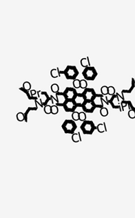 CC(C)CC(C(=O)N(CCC1CO1)CCC1CO1)N1C(=O)c2cc(Oc3cccc(Cl)c3)c3c4c(Oc5cccc(Cl)c5)cc5c6c(cc(Oc7cccc(Cl)c7)c(c7c(Oc8cccc(Cl)c8)cc(c2c37)C1=O)c64)C(=O)N(C(CC(C)C)C(=O)N(CCC1CO1)CCC1CO1)C5=O